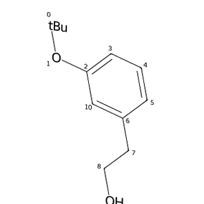 CC(C)(C)Oc1cccc(CCO)c1